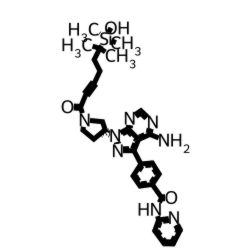 CC(C)(CCC#CC(=O)N1CC[C@@H](n2nc(-c3ccc(C(=O)Nc4ccccn4)cc3)c3c(N)ncnc32)C1)[Si](C)(C)O